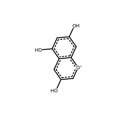 Oc1cc(O)c2cc(O)c[o+]c2c1